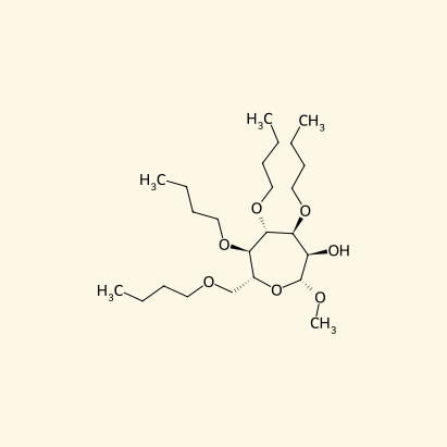 CCCCOC[C@H]1O[C@@H](OC)[C@H](O)[C@H](OCCCC)[C@@H](OCCCC)[C@@H]1OCCCC